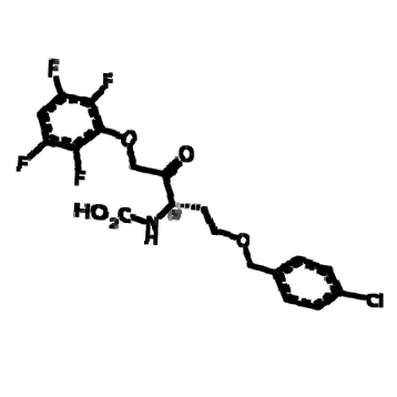 O=C(O)N[C@@H](CCOCc1ccc(Cl)cc1)C(=O)COc1c(F)c(F)cc(F)c1F